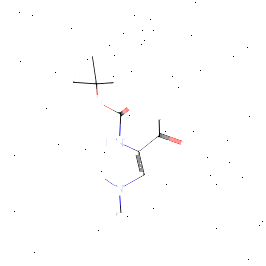 CC(=O)C(=CN(C)C)NC(=O)OC(C)(C)C